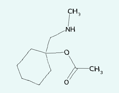 CNCC1(OC(C)=O)CCCCC1